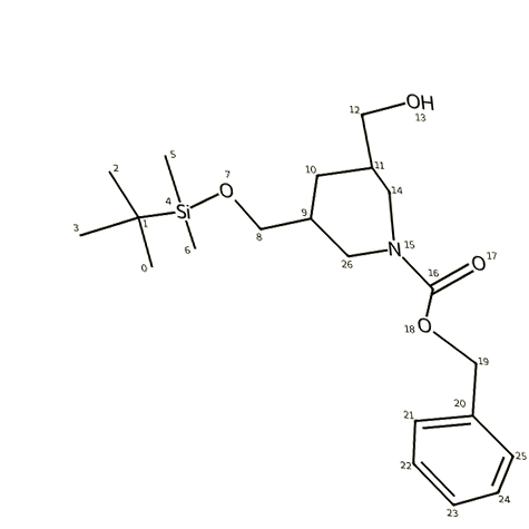 CC(C)(C)[Si](C)(C)OCC1CC(CO)CN(C(=O)OCc2ccccc2)C1